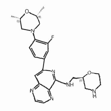 C[C@@H]1CN(c2ccc(-c3cc4nccnc4c(NC[C@@H]4CNCCO4)n3)cc2F)C[C@H](C)O1